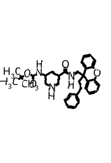 CC(C)(C)OC(=O)NC1CNCC(C(=O)NCC2(CCc3ccccc3)c3ccccc3Oc3ccccc32)C1